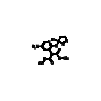 CCC1(Oc2ncc([N+](=O)[O-])cc2N(C(=O)OC(C)(C)C)C(=O)OC(C)(C)C)C=CN=N1